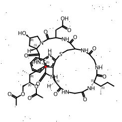 CC[C@H](C)[C@@H]1NC(=O)CNC(=O)[C@@H]2Cc3c([nH]c4ccccc34)SCC(NC(=O)CNC1=O)C(=O)NC(CC(=O)O)C(=O)N1C[C@H](O)C[C@H]1C(=O)N[C@@H]([C@@H](C)[C@H](COC(C)=O)OC(C)=O)C(=O)N2